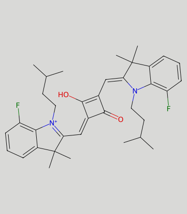 CC(C)CCN1/C(=C\C2=C(O)C(=C\C3=[N+](CCC(C)C)c4c(F)cccc4C3(C)C)/C2=O)C(C)(C)c2cccc(F)c21